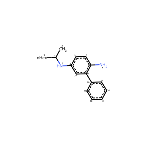 CCCCCCC(C)Nc1ccc(N)c(-c2ccccc2)c1